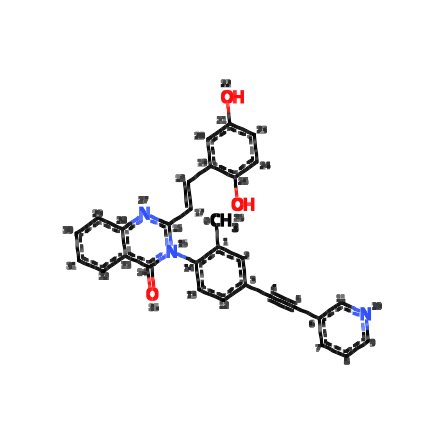 Cc1cc(C#Cc2cccnc2)ccc1-n1c(C=Cc2cc(O)ccc2O)nc2ccccc2c1=O